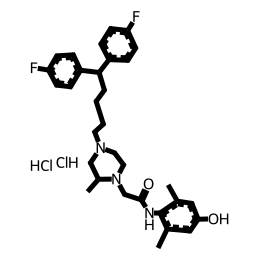 Cc1cc(O)cc(C)c1NC(=O)CN1CCN(CCCCC(c2ccc(F)cc2)c2ccc(F)cc2)CC1C.Cl.Cl